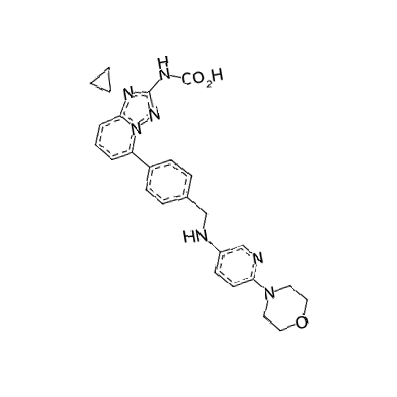 C1CC1.O=C(O)Nc1nc2cccc(-c3ccc(CNc4ccc(N5CCOCC5)nc4)cc3)n2n1